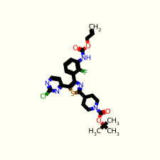 C=CCOC(=O)Nc1cccc(-c2nc(C3CCN(C(=O)OC(C)(C)C)CC3)sc2-c2ccnc(Cl)n2)c1F